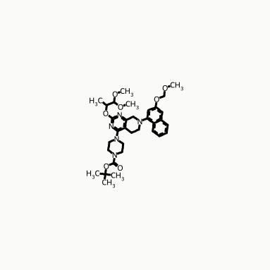 COCOc1cc(N2CCc3c(nc(OC(C)C(OC)OC)nc3N3CCN(C(=O)OC(C)(C)C)CC3)C2)c2ccccc2c1